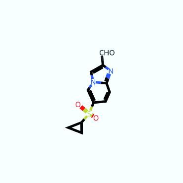 O=Cc1cn2cc(S(=O)(=O)C3CC3)ccc2n1